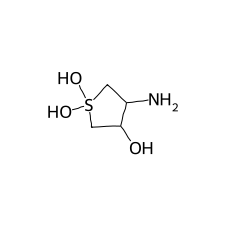 NC1CS(O)(O)CC1O